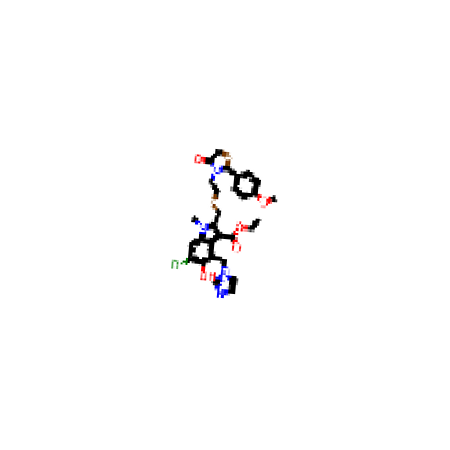 CCOC(=O)c1c(CSCCN2C(=O)CSC2c2ccc(OC)cc2)n(C)c2cc(Br)c(O)c(Cn3ccnc3)c12